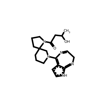 CC(O)CC(=O)N1CCCC12CCCN(C1=c3cc[nH]c3=NCC=N1)C2